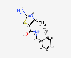 Cc1nc(N)sc1C(=O)NCc1ccccc1C(F)(F)F